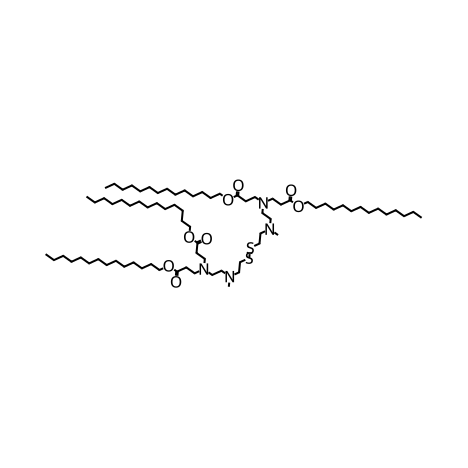 CCCCCCCCCCCCCCOC(=O)CCN(CCC(=O)OCCCCCCCCCCCCCC)CCN(C)CCSSCCN(C)CCN(CCC(=O)OCCCCCCCCCCCCCC)CCC(=O)OCCCCCCCCCCCCCC